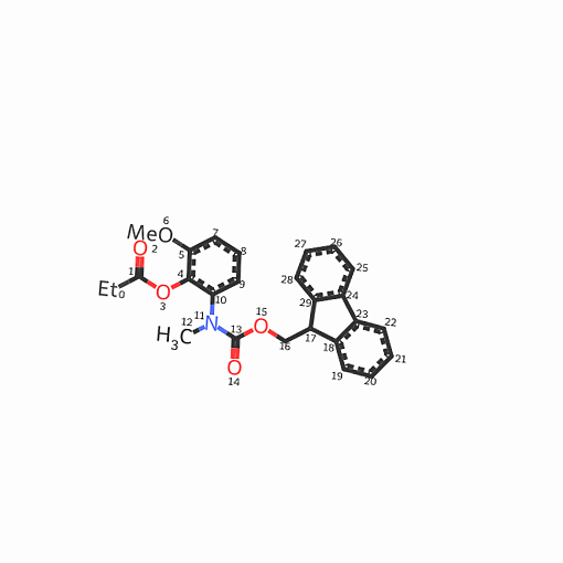 CCC(=O)Oc1c(OC)cccc1N(C)C(=O)OCC1c2ccccc2-c2ccccc21